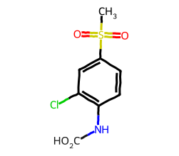 CS(=O)(=O)c1ccc(NC(=O)O)c(Cl)c1